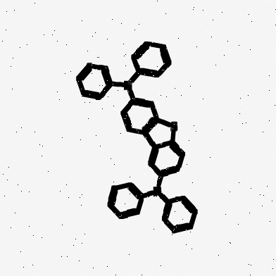 c1ccc(N(c2ccccc2)c2ccc3c(c2)sc2ccc(N(c4ccccc4)c4ccccc4)cc23)cc1